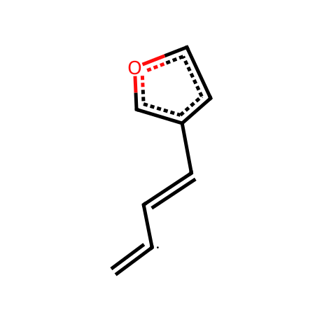 C=[C]/C=C/c1ccoc1